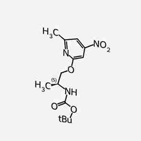 Cc1cc([N+](=O)[O-])cc(OC[C@H](C)NC(=O)OC(C)(C)C)n1